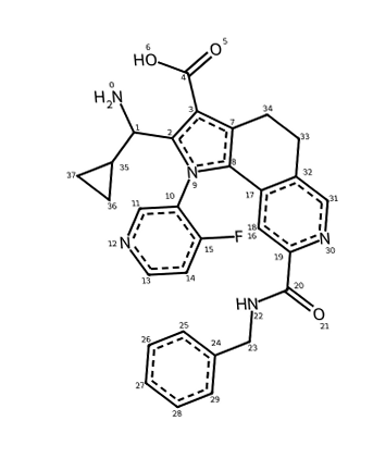 NC(c1c(C(=O)O)c2c(n1-c1cnccc1F)-c1cc(C(=O)NCc3ccccc3)ncc1CC2)C1CC1